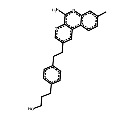 Cc1ccc2c(c1)nc(N)c1ncc(CCc3ccc(CCCO)cc3)cc12